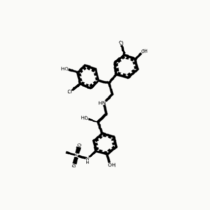 CS(=O)(=O)Nc1cc([C@@H](O)CNCC(c2ccc(O)c(Cl)c2)c2ccc(O)c(Cl)c2)ccc1O